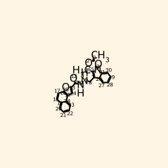 CC(=O)On1c(C)c(CNNC(=O)c2cc3c(ccc4ccccc43)o2)c2ccccc21